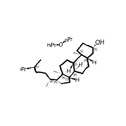 CC(C)[C@@H](C)CC[C@@H](C)[C@H]1CC[C@H]2[C@@H]3CC[C@H]4C[C@@H](O)CC[C@]4(C)[C@H]3CC[C@]12C.CCCOCCC